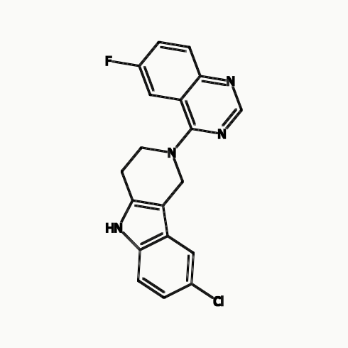 Fc1ccc2ncnc(N3CCc4[nH]c5ccc(Cl)cc5c4C3)c2c1